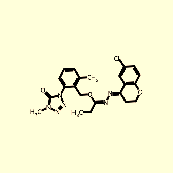 CC/C(=N/N=C1CCOc2ccc(Cl)cc21)OCc1c(C)cccc1-n1nnn(C)c1=O